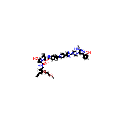 C#Cc1ccc(CNC(=O)[C@@H]2C[C@@H](O)CN2C(=O)[C@@H](NC(=O)[C@H]2CCC3(CC2)C[C@H](N2CCC(c4cnc(N5CCN(c6cc(-c7ccccc7O)nnc6NC)CC5)nc4)CC2)C3)C(C)(C)C)c(OCCCOC)c1